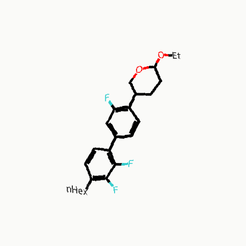 CCCCCCc1ccc(-c2ccc(C3CCC(OCC)OC3)c(F)c2)c(F)c1F